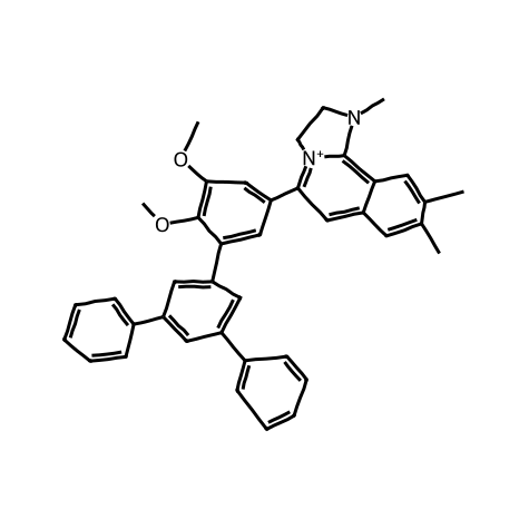 COc1cc(-c2cc3cc(C)c(C)cc3c3[n+]2CCN3C)cc(-c2cc(-c3ccccc3)cc(-c3ccccc3)c2)c1OC